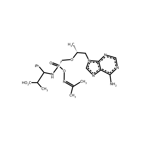 CC(C)=NO[P@@](=O)(CO[C@H](C)Cn1cnc2c(N)ncnc21)NC(C(C)C)C(C)C(=O)O